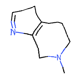 CN1CCC2=C(C1)N=CC2